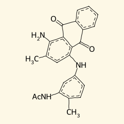 CC(=O)Nc1cc(Nc2cc(C)c(N)c3c2C(=O)c2ccccc2C3=O)ccc1C